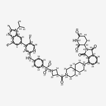 Cc1nc2c(F)cc(-c3nc(Nc4ccc(S(=O)(=O)N5CC(C(=O)N6CCC7(CC6)CCN(c6cccc8c6C(=O)N(C6CCC(=O)NC6=O)C8=O)CC7)C5)cc4)ncc3F)cc2n1C(C)C